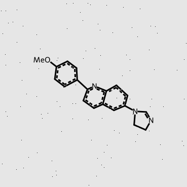 COc1ccc(-c2ccc3cc(N4C=NCC4)ccc3n2)cc1